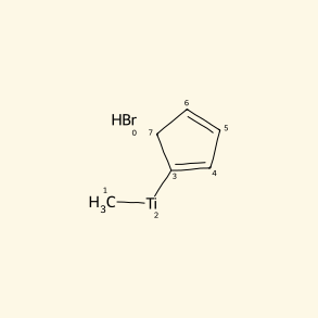 Br.[CH3][Ti][C]1=CC=CC1